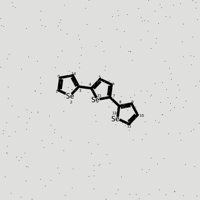 c1c[se]c(-c2ccc(-c3ccc[se]3)[se]2)c1